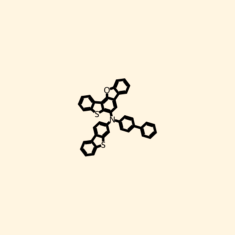 c1ccc(-c2ccc(N(c3ccc4c(c3)sc3ccccc34)c3cc4c5ccccc5oc4c4c3sc3ccccc34)cc2)cc1